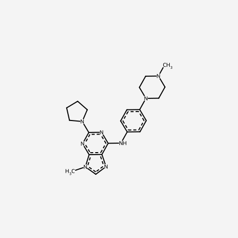 CN1CCN(c2ccc(Nc3nc(N4CCCC4)nc4c3ncn4C)cc2)CC1